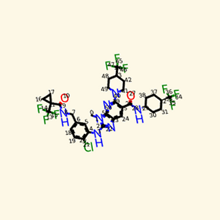 Cn1c(Nc2cc(CNC(=O)C3(C(F)(F)F)CC3)ccc2Cl)nc2cc(C(=O)N[C@H]3CC[C@H](C(F)(F)F)CC3)c(N3CCC(C(F)(F)F)CC3)nc21